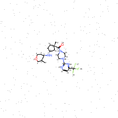 CC1COCC[C@H]1N[C@@H]1CC[C@](C)(C(=O)N2CCN(c3nccc(C(F)(F)F)n3)CC2)C1